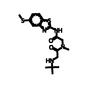 CSc1ccc2sc(NC(=O)CN(C)C(=O)CNC(C)(C)C)nc2c1